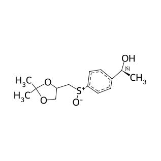 C[C@H](O)c1ccc([S+]([O-])CC2COC(C)(C)O2)cc1